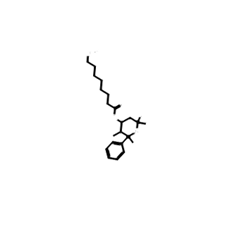 CCCCCCCCCCCCCCCCCC(=O)OC1CC(C)(CC)NC(C)(c2ccccc2)C1C